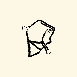 NC(=O)C12CC1CC=CN2